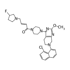 COc1nc2c(c(N3CCN(C(=O)/C=C/CN4CCC(F)C4)CC3)n1)CCN(c1cccc3cccc(Cl)c13)C2